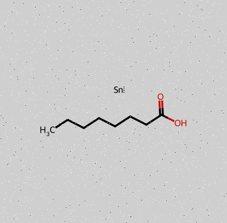 CCCCCCCC(=O)O.[Sn]